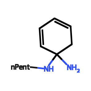 CCCCCNC1(N)C=CC=CC1